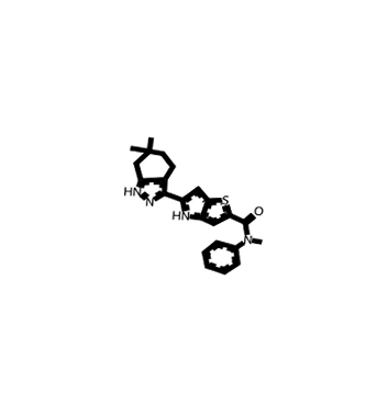 CN(C(=O)c1cc2[nH]c(-c3n[nH]c4c3CCC(C)(C)C4)cc2s1)c1ccccc1